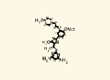 COc1ccc(-c2nc([C@@H](C)Sc3nc(N)cc(N)n3)c(C)s2)cc1OCCN1CCN(C)CC1